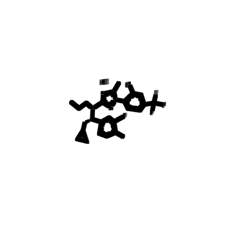 CCCN(c1nc(C)n(-c2ccc(C(F)(F)F)cc2Cl)n1)[C@@H](CC1CC1)c1ccc(C)c(F)c1.Cl